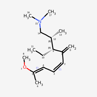 C=C(/C=C\C=C(/C)OC)[C@H](CC)[C@@H](C)CN(C)C